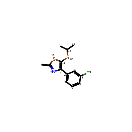 Cc1nc(-c2cccc(F)c2)c(SC(C)C)s1